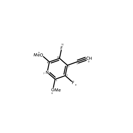 C#Cc1c(F)c(OC)nc(OC)c1F